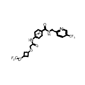 O=C(COC1CC(OC(F)(F)F)C1)NC12CCC(C(=O)NCc3ccc(C(F)(F)F)cn3)(CC1)CC2